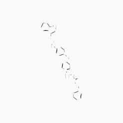 O=C(CCc1ccccc1)NCc1cc(Nc2ccc(NCCc3c[nH]c4ccccc34)cc2)ccn1